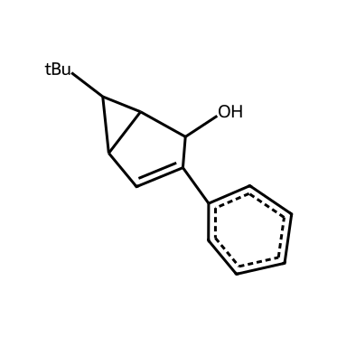 CC(C)(C)C1C2C=C(c3ccccc3)C(O)C21